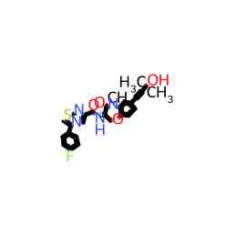 CN1C(=O)[C@@H](NC(=O)c2cn3c(-c4ccc(F)cc4)csc3n2)COc2ccc(C#CC(C)(C)O)cc21